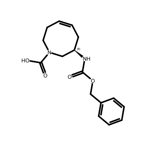 O=C(N[C@@H]1CC=CCCN(C(=O)O)C1)OCc1ccccc1